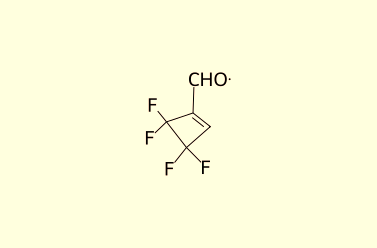 O=[C]C1=CC(F)(F)C1(F)F